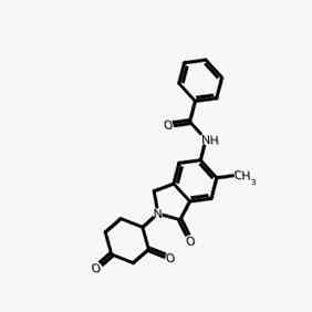 Cc1cc2c(cc1NC(=O)c1ccccc1)CN(C1CCC(=O)CC1=O)C2=O